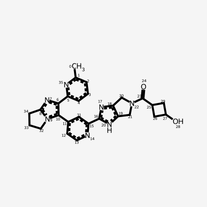 Cc1cccc(-c2nc3n(c2-c2ccnc(-c4nc5c([nH]4)CN(C(=O)C4CC(O)C4)C5)c2)CCC3)n1